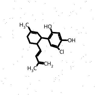 C=C(C)C=CC1CCC(C)=CC1c1cc(Cl)c(O)cc1O